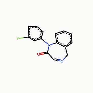 O=C1C=NCc2ccccc2N1c1cccc(F)c1